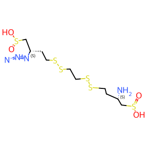 [N-]=[N+]=N[C@@H](CCSSCCSSCC[C@H](N)CS(=O)O)CS(=O)O